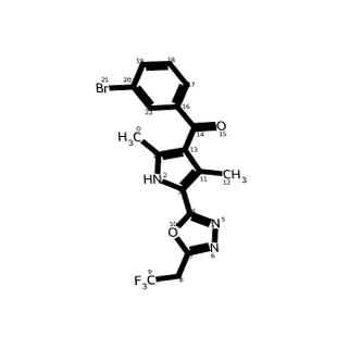 Cc1[nH]c(-c2nnc(CC(F)(F)F)o2)c(C)c1C(=O)c1cccc(Br)c1